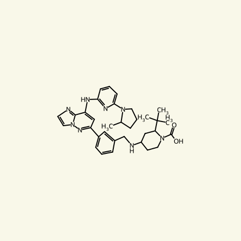 CC1CCCN1c1cccc(Nc2cc(-c3cccc(CNC4CCN(C(=O)O)C(C(C)(C)C)C4)c3)nn3ccnc23)n1